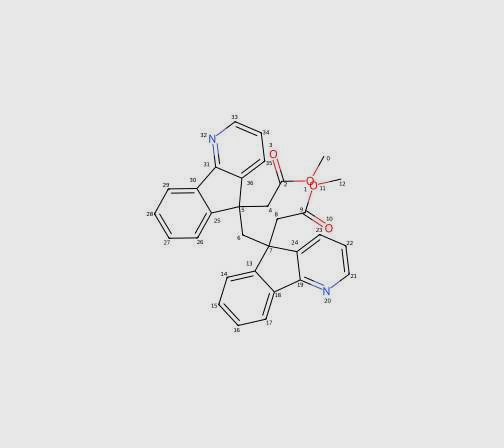 COC(=O)CC1(CC2(CC(=O)OC)c3ccccc3-c3ncccc32)c2ccccc2-c2ncccc21